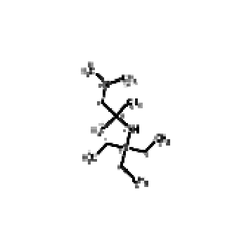 CC[Si](CC)(CC)NC(C)(C)CN(C)C